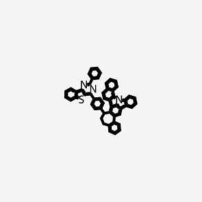 c1ccc(-c2nc(-c3ccc(C4CCc5ccccc5-c5cc6c7ccccc7n7c8c9ccccc9ccc8c(c54)c67)cc3)c3sc4ccccc4c3n2)cc1